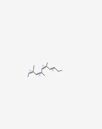 C\C=C(C)/C=C(C)\C=C(C)/C=C/CC